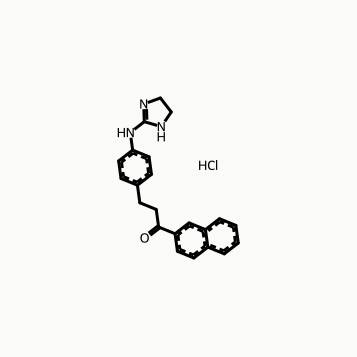 Cl.O=C(CCc1ccc(NC2=NCCN2)cc1)c1ccc2ccccc2c1